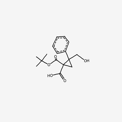 CC(C)(C)OC(=O)C1(C(=O)O)CC1(CO)c1ccccc1